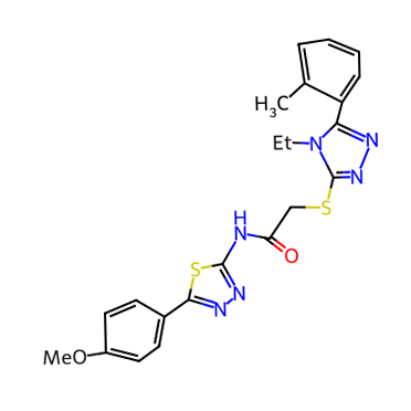 CCn1c(SCC(=O)Nc2nnc(-c3ccc(OC)cc3)s2)nnc1-c1ccccc1C